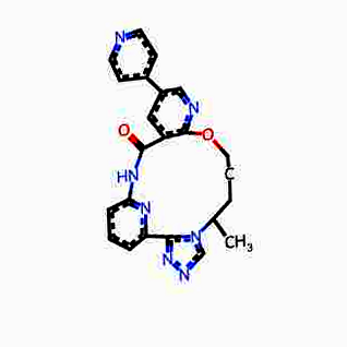 CC1CCCOc2ncc(-c3ccncc3)cc2C(=O)Nc2cccc(n2)-c2nncn21